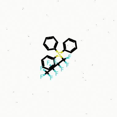 FC(F)(F)C(F)(F)C(F)(F)C(F)(F)S(c1ccccc1)(c1ccccc1)c1ccccc1